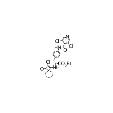 CCOC(=O)[C@H](Cc1ccc(NC(=O)c2c(Cl)cncc2Cl)cc1)NC1=C(Cl)C(=O)C12CCCCC2